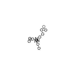 c1ccc(-c2ccc(-c3nc(-c4ccc(-c5cccc(-c6cccc7c6-c6ccccc6C76CCCCC6)c5)cc4)nc(-c4ccc5oc6ccccc6c5c4)n3)cc2)cc1